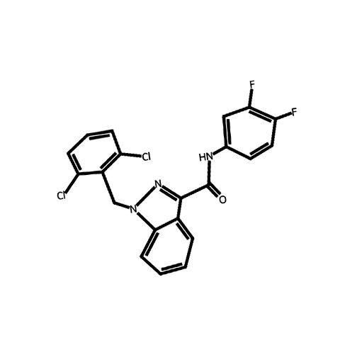 O=C(Nc1ccc(F)c(F)c1)c1nn(Cc2c(Cl)cccc2Cl)c2ccccc12